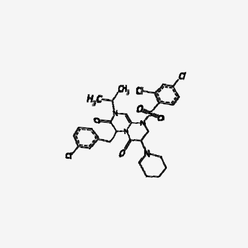 CC(C)N1C=C2N(C(=O)C(N3CCCCC3)CN2S(=O)(=O)c2ccc(Cl)cc2Cl)C(Cc2cccc(Cl)c2)C1=O